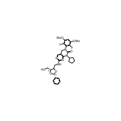 COc1cc(OC)c(F)c(N2Cc3cnc(NCC4O[C@H](c5ccccc5)O[C@H]4CO)nc3N(C3CCCC3)C2=O)c1F